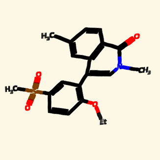 CCOc1ccc(S(C)(=O)=O)cc1-c1cn(C)c(=O)c2ccc(C)cc12